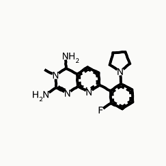 CN1C(N)=Nc2nc(-c3c(F)cccc3N3CCCC3)ccc2C1N